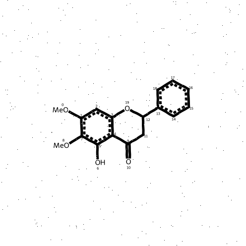 COc1cc2c(c(O)c1OC)C(=O)CC(c1ccccc1)O2